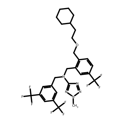 Cn1nnc(N(Cc2cc(C(F)(F)F)cc(C(F)(F)F)c2)Cc2cc(C(F)(F)F)ccc2COCCC2CCCCC2)n1